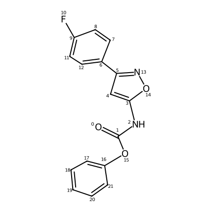 O=C(Nc1cc(-c2ccc(F)cc2)no1)Oc1ccccc1